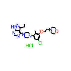 CCc1n[nH]c2ncnc(N3CCN(c4cc(Cl)cc(OCCN5CCOCC5)c4C)CC3)c12.Cl